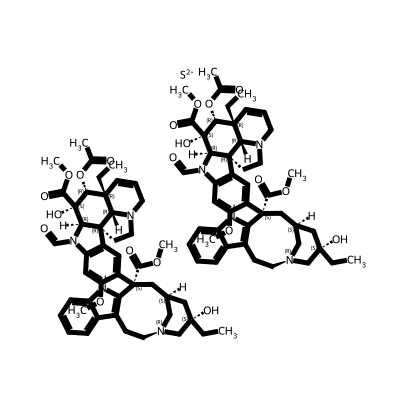 CC[C@]1(O)C[C@H]2C[N@](CCc3c([nH]c4ccccc34)[C@@](C(=O)OC)(c3cc4c(cc3OC)N(C=O)[C@H]3[C@@](O)(C(=O)OC)[C@H](OC(C)=O)[C@]5(CC)C=CCN6CC[C@]43[C@@H]65)C2)C1.CC[C@]1(O)C[C@H]2C[N@](CCc3c([nH]c4ccccc34)[C@@](C(=O)OC)(c3cc4c(cc3OC)N(C=O)[C@H]3[C@@](O)(C(=O)OC)[C@H](OC(C)=O)[C@]5(CC)C=CCN6CC[C@]43[C@@H]65)C2)C1.[S-2]